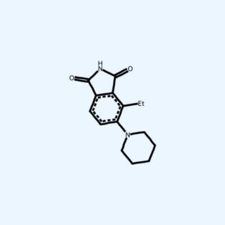 CCc1c(N2CCCCC2)ccc2c1C(=O)NC2=O